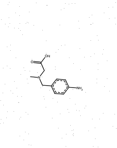 CN(CC(=O)O)Cc1ccc(N)cc1